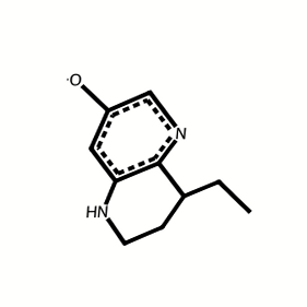 CCC1CCNc2cc([O])cnc21